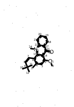 COc1cc(C)c(/C=C\C(C)(C)C)c2c1c(=O)c1ccccc1n2C